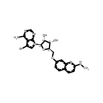 CNc1ccc2ccc(OC[C@H]3O[C@@H](n4cc(Br)c5c(N)ncnc54)[C@H](O)[C@@H]3O)cc2n1